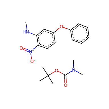 CN(C)C(=O)OC(C)(C)C.CNc1cc(Oc2ccccc2)ccc1[N+](=O)[O-]